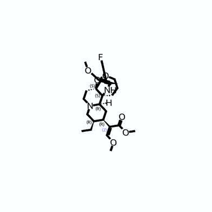 CC[C@H]1CN2CC[C@@]34OOCCC[C@]3(Nc3ccc(F)c(OC)c34)[C@H]2C[C@H]1/C(=C/OC)C(=O)OC